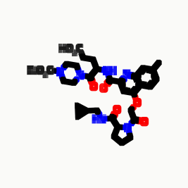 CCOC(=O)N1CCN(C(=O)C(CCC(=O)O)NC(=O)c2cc(OCC(=O)N3CCCC3C(=O)NCC3CC3)c3ccc(C)cc3n2)CC1